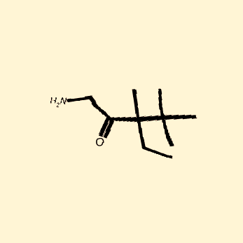 CCC(C)(C(=O)CN)C(C)(C)C